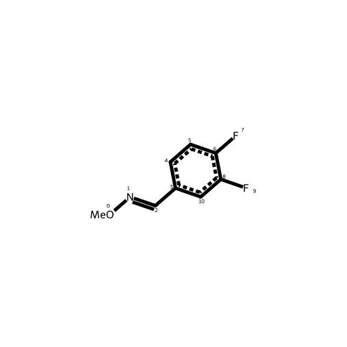 CON=Cc1ccc(F)c(F)c1